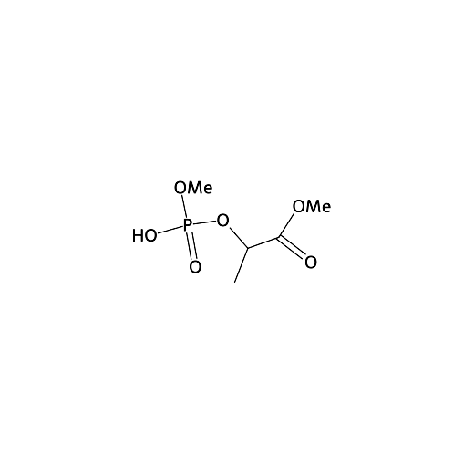 COC(=O)C(C)OP(=O)(O)OC